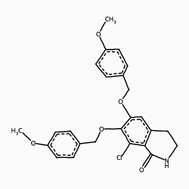 COc1ccc(COc2cc3c(c(Cl)c2OCc2ccc(OC)cc2)C(=O)NCC3)cc1